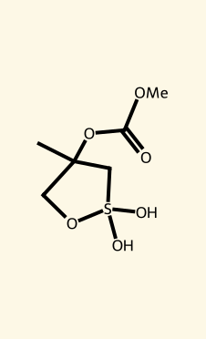 COC(=O)OC1(C)COS(O)(O)C1